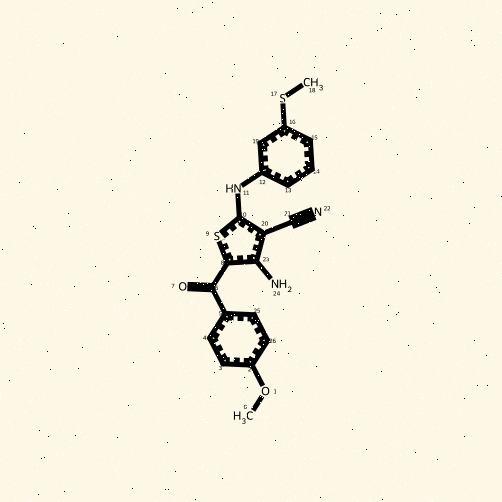 COc1ccc(C(=O)c2sc(Nc3cccc(SC)c3)c(C#N)c2N)cc1